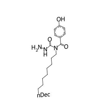 CCCCCCCCCCCCCCCCCCN(C(=O)NN)C(=O)c1ccc(O)cc1